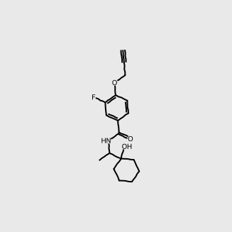 C#CCOc1ccc(C(=O)NC(C)C2(O)CCCCC2)cc1F